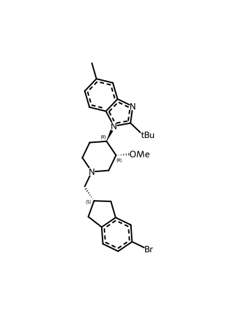 CO[C@@H]1CN(C[C@H]2Cc3ccc(Br)cc3C2)CC[C@H]1n1c(C(C)(C)C)nc2cc(C)ccc21